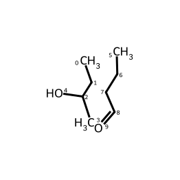 CCC(C)O.CCCC=O